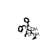 CCCC[C@@H](C(O)C(=O)NC1CC1)N(Cc1ccccc1)[C@@H](C)c1ccccc1